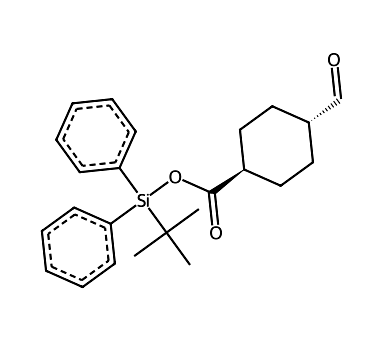 CC(C)(C)[Si](OC(=O)[C@H]1CC[C@H](C=O)CC1)(c1ccccc1)c1ccccc1